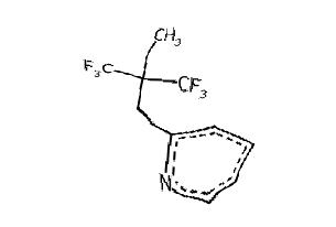 CC(Cc1ccccn1)(C(F)(F)F)C(F)(F)F